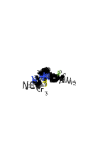 C=C(NC)c1ccc(N2C(=S)N(c3cnc(C#N)c(C(F)(F)F)c3)C(=C)C23CCC3)cc1F